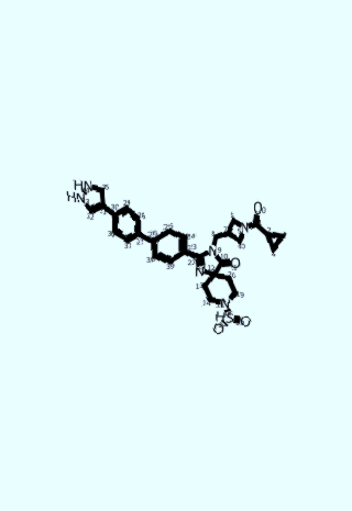 O=C(C1CC1)N1CC(CN2C(=O)C3(CCN([SH](=O)=O)CC3)N=C2C2=CCC(c3ccc(C4=CNNC4)cc3)C=C2)C1